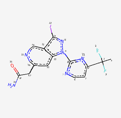 CC(F)(F)c1ccnc(-n2nc(I)c3cnc(CC(N)=O)cc32)n1